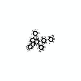 c1ccc(-c2ccc(-c3nc4c(-c5ccccc5)ccc(-c5ccccc5)c4nc3-c3ccccc3)cc2)cc1